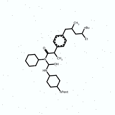 CCCCCC1CCC(NC(O)N(C(=O)C(C)c2ccc(CC(C)CC(CC)CCCC)cc2)C2CCCCC2)CC1